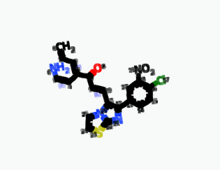 C=C/C=C(\C=C/N)C(=O)/C=C/c1c(-c2ccc(Cl)c([N+](=O)[O-])c2)nc2sccn12